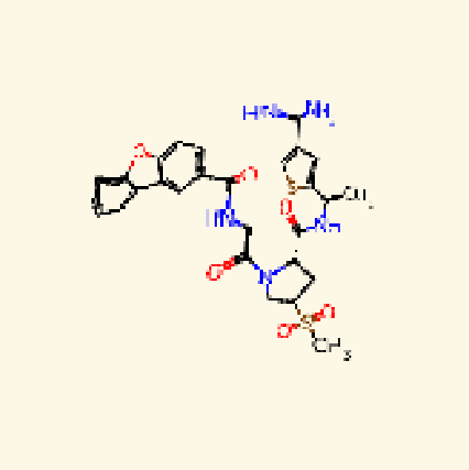 CC(NC(=O)[C@@H]1C[C@@H](S(C)(=O)=O)CN1C(=O)CNC(=O)c1ccc2oc3ccccc3c2c1)c1cc(C(=N)N)cs1